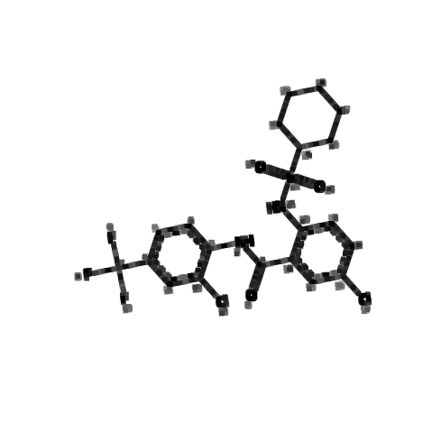 O=C(Nc1ccc(C(F)(F)F)cc1Cl)c1cc(Cl)ccc1NS(=O)(=O)C1CCCCC1